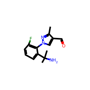 Cc1nn(-c2c(F)cccc2C(C)(C)N)cc1C=O